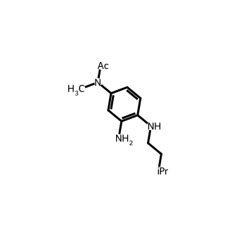 CC(=O)N(C)c1ccc(NCCC(C)C)c(N)c1